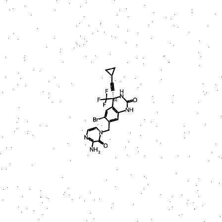 Nc1nccn(Cc2cc3c(cc2Br)[C@@](C#CC2CC2)(C(F)(F)F)NC(=O)N3)c1=O